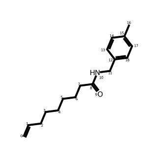 C=CCCCCCCC(=O)NCc1ccc(C)cc1